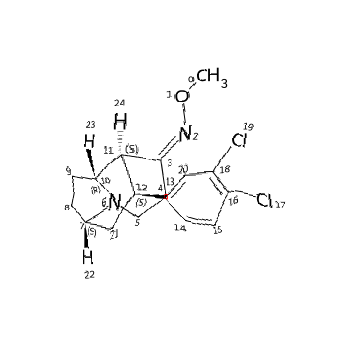 CON=C1CCN2[C@H]3CC[C@@H]2[C@@H]1[C@@H](c1ccc(Cl)c(Cl)c1)C3